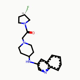 O=C(CN1CCC(Nc2cnc3ccccc3c2)CC1)N1CC[C@H](F)C1